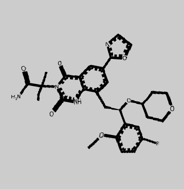 COc1ccc(F)cc1[C@@H](Cc1cc(-c2ncco2)cc2c(=O)n(C(C)(C)C(N)=O)c(=O)[nH]c12)OC1CCOCC1